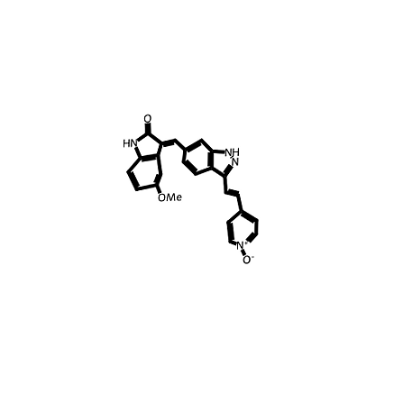 COc1ccc2c(c1)/C(=C\c1ccc3c(/C=C/c4cc[n+]([O-])cc4)n[nH]c3c1)C(=O)N2